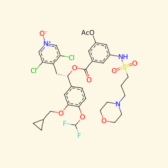 CC(=O)Oc1cc(NS(=O)(=O)CCCN2CCOCC2)cc(C(=O)O[C@@H](Cc2c(Cl)c[n+]([O-])cc2Cl)c2ccc(OC(F)F)c(OCC3CC3)c2)c1